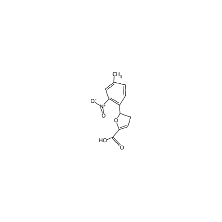 Cc1ccc(C2CC=C(C(=O)O)O2)c([N+](=O)[O-])c1